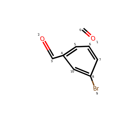 C=O.O=Cc1cccc(Br)c1